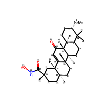 CC(=O)N[C@H]1CC[C@@]2(C)C(CC[C@]3(C)[C@@H]2C(=O)C=C2[C@@H]4C[C@@](C)(C(=O)NO)CC[C@]4(C)CC[C@]23C)C1(C)C